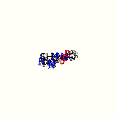 Cc1cc(-n2ncc3cc(NC(=O)NOC(=O)Cc4ccccc4)ncc32)ccn1